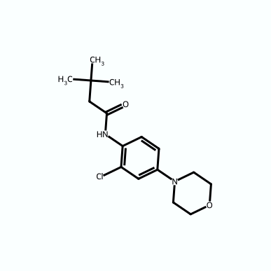 CC(C)(C)CC(=O)Nc1ccc(N2CCOCC2)cc1Cl